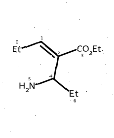 CCC=C(C(=O)OCC)C(N)CC